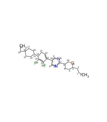 CCCC1CCC(c2ncc(C3=CCC(C4CCC(CC)CC4)C(F)=C3F)cn2)CO1